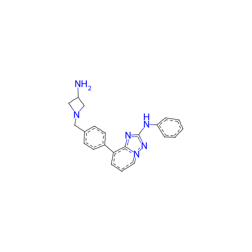 NC1CN(Cc2ccc(-c3cccn4nc(Nc5ccccc5)nc34)cc2)C1